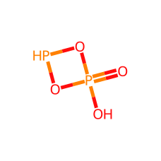 O=P1(O)OPO1